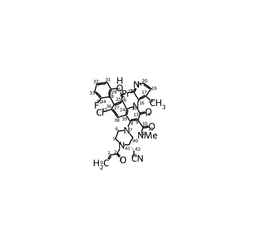 C=CC(=O)N1CCN(c2c(C(=O)NC)c(=O)n(-c3c(C)ccnc3C(C)C)c3c(F)c(-c4c(O)cccc4F)c(Cl)cc23)C[C@@H]1CC#N